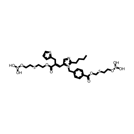 CCCCc1ncc(/C=C(\Cc2cccs2)C(=O)OCCSCCON(O)O)n1Cc1ccc(C(=O)OCSCCON(O)O)cc1